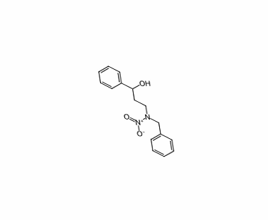 O=[N+]([O-])N(CCC(O)c1ccccc1)Cc1ccccc1